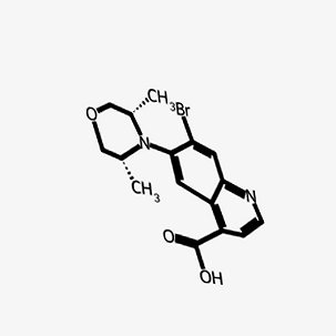 C[C@@H]1COC[C@H](C)N1c1cc2c(C(=O)O)ccnc2cc1Br